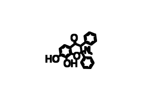 CN(C)C1(c2ccccc2)Oc2c(ccc(O)c2O)C(=O)C1c1ccccc1